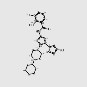 O=C(Nc1nc(-c2cc(Cl)cs2)c(N2CCN(C3CCCCC3)CC2)s1)c1cccc(F)c1O